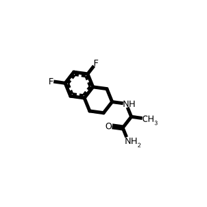 CC(NC1CCc2cc(F)cc(F)c2C1)C(N)=O